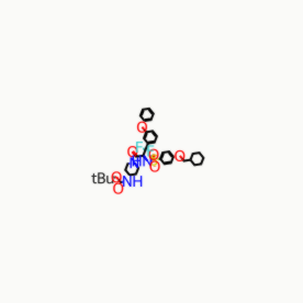 CC(C)(C)OC(=O)NC1CCN(C(=O)C(NS(=O)(=O)c2ccc(OCC3CCCCC3)cc2)C(F)(F)c2cccc(Oc3ccccc3)c2)CC1